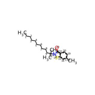 CCCCCCCCCCC(C)(C)n1sc2cc(C)ccc2c1=O